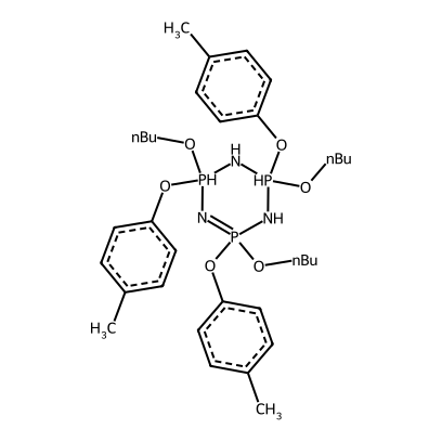 CCCCOP1(Oc2ccc(C)cc2)=N[PH](OCCCC)(Oc2ccc(C)cc2)N[PH](OCCCC)(Oc2ccc(C)cc2)N1